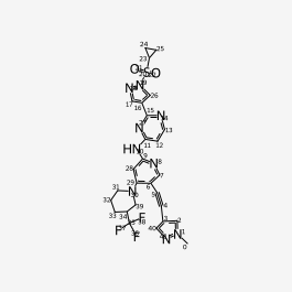 Cn1cc(C#Cc2cnc(Nc3ccnc(-c4cnn(S(=O)(=O)C5CC5)c4)n3)cc2N2CCCC(C(F)(F)F)C2)cn1